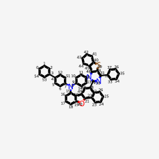 c1ccc(-c2ccc(N(c3ccccc3)c3cccc4oc5c6ccccc6c(-c6nc(-c7ccccc7)c7sc8ccccc8c7n6)cc5c34)cc2)cc1